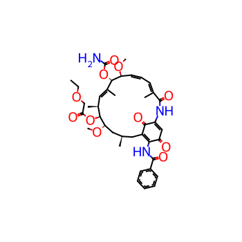 CCOCC(=O)O[C@@H]1[C@@H](OC)C[C@H](C)CC2=C(NC(=O)c3ccccc3)C(=O)C=C(NC(=O)/C(C)=C/C=C\[C@H](OC)[C@@H](OC(N)=O)/C(C)=C/[C@@H]1C)C2=O